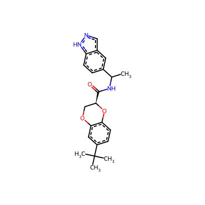 CC(NC(=O)[C@@H]1COc2cc(C(C)(C)C)ccc2O1)c1ccc2[nH]ncc2c1